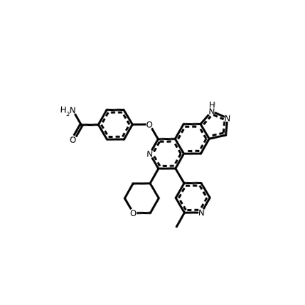 Cc1cc(-c2c(C3CCOCC3)nc(Oc3ccc(C(N)=O)cc3)c3cc4[nH]ncc4cc23)ccn1